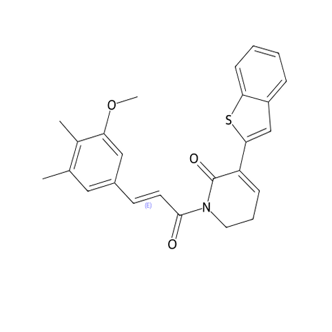 COc1cc(/C=C/C(=O)N2CCC=C(c3cc4ccccc4s3)C2=O)cc(C)c1C